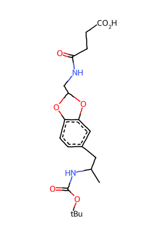 CC(Cc1ccc2c(c1)OC(CNC(=O)CCC(=O)O)O2)NC(=O)OC(C)(C)C